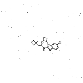 CC1(CC(=O)Nc2nc3ccc(Cl)cc3n2C2CCC2)CCC1